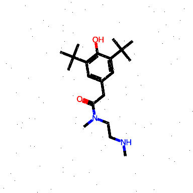 CNCCN(C)C(=O)Cc1cc(C(C)(C)C)c(O)c(C(C)(C)C)c1